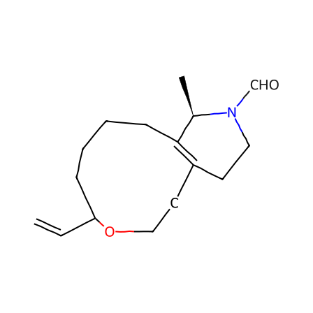 C=CC1CCCCC2=C(CCO1)CCN(C=O)[C@@H]2C